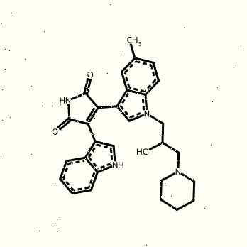 Cc1ccc2c(c1)c(C1=C(c3c[nH]c4ccccc34)C(=O)NC1=O)cn2CC(O)CN1CCCCC1